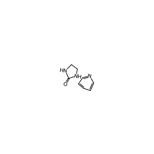 O=C1NCCN1.c1ccncc1